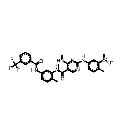 CNc1nc(Nc2ccc(C)c([S+](C)[O-])c2)ncc1C(=O)Nc1cc(NC(=O)c2cccc(C(F)(F)F)c2)ccc1C